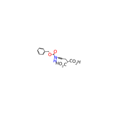 O=C(NC#CCC(C(=O)O)C(=O)O)OCc1ccccc1